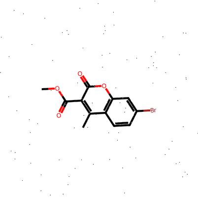 COC(=O)c1c(C)c2ccc(Br)cc2oc1=O